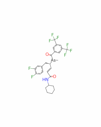 C[As](C(=O)c1cc(C(F)(F)F)cc(C(F)(F)F)c1)[C@@H](C=CC(=O)NC1CCCCC1)Cc1ccc(F)c(F)c1